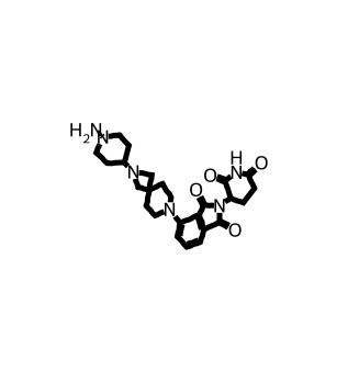 NN1CCC(N2CC3(CCN(c4cccc5c4C(=O)N(C4CCC(=O)NC4=O)C5=O)CC3)C2)CC1